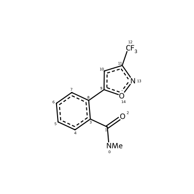 CNC(=O)c1ccccc1-c1cc(C(F)(F)F)no1